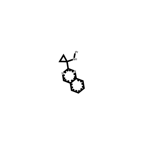 CC(C)NC1(c2ncc3ccccc3n2)CC1